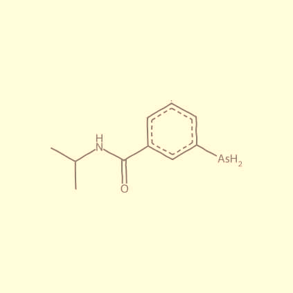 CC(C)NC(=O)c1c[c]cc([AsH2])c1